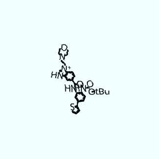 CC(C)(C)OC(=O)Nc1ccc(-c2cccs2)cc1NC(=O)c1ccc2c(c1)[nH]c[n+]2CCN1CCOCC1